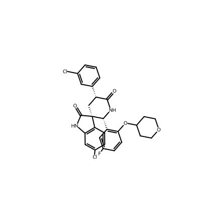 O=C1N[C@H](c2cc(F)ccc2OC2CCOCC2)[C@]2(C[C@@H]1c1cccc(Cl)c1)C(=O)Nc1cc(Cl)ccc12